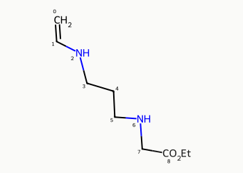 C=CNCCCNCC(=O)OCC